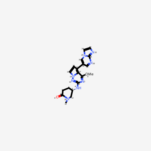 COc1nc(N[C@H]2CCC(=O)N(C)C2)nn2ccc(-c3cnc4nccn4c3)c12